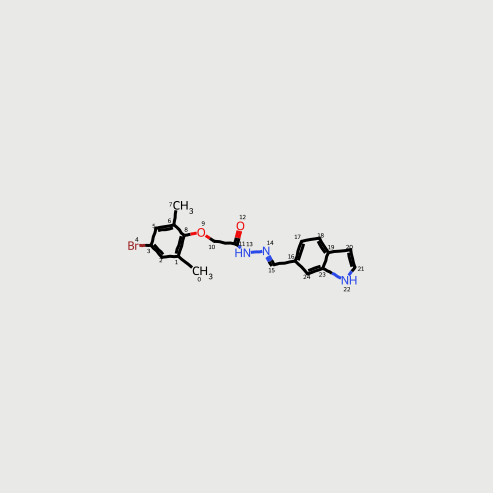 Cc1cc(Br)cc(C)c1OCC(=O)N/N=C/c1ccc2cc[nH]c2c1